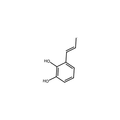 [CH2]/C=C/c1cccc(O)c1O